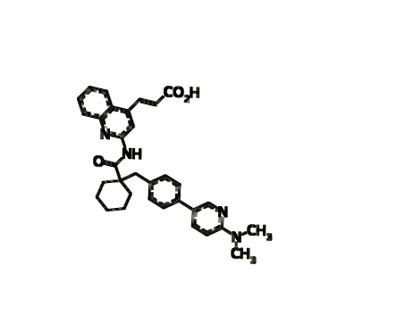 CN(C)c1ccc(-c2ccc(CC3(C(=O)Nc4cc(/C=C/C(=O)O)c5ccccc5n4)CCCCC3)cc2)cn1